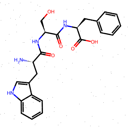 N[C@@H](Cc1c[nH]c2ccccc12)C(=O)N[C@@H](CO)C(=O)N[C@@H](Cc1ccccc1)C(=O)O